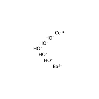 [Ba+2].[Ce+3].[OH-].[OH-].[OH-].[OH-].[OH-]